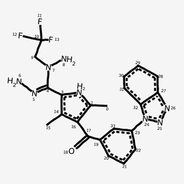 Cc1[nH]c(/C(=N/N)N(N)CC(F)(F)F)c(C)c1C(=O)c1cccc(-n2nnc3ccccc32)c1